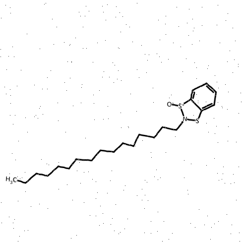 CCCCCCCCCCCCCCCCN1Sc2ccccc2[S+]1[O-]